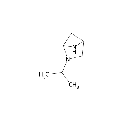 CC(C)N1CC2CC1N2